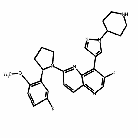 COc1ccc(F)cc1[C@H]1CCCN1c1ccc2ncc(Cl)c(-c3cnn(C4CCNCC4)c3)c2n1